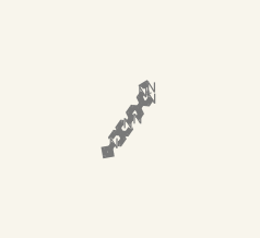 c1cn2cc(-c3ccc(N4CCC5(CC4)CCN(C4CCC4)CC5)nc3)cnc2n1